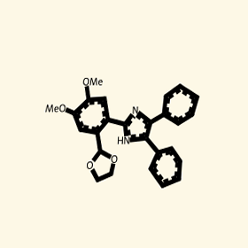 COc1cc(-c2nc(-c3ccccc3)c(-c3ccccc3)[nH]2)c(C2OCCO2)cc1OC